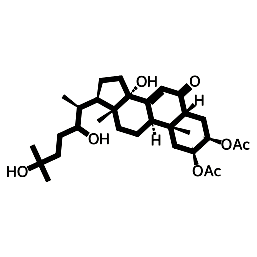 CC(=O)O[C@H]1C[C@@]2(C)[C@@H](C[C@H]1OC(C)=O)C(=O)C=C1[C@@H]2CC[C@]2(C)[C@@H]([C@H](C)C(O)CCC(C)(C)O)CC[C@@]12O